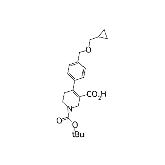 CC(C)(C)OC(=O)N1CCC(c2ccc(COCC3CC3)cc2)=C(C(=O)O)C1